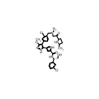 COc1n[nH]c(-c2c[nH]c(C(=O)N[C@H](CO)c3cccc(Cl)c3)c2)c1-c1ccc(CN(C)CC(=O)C2CCC(C)N2)c(Cl)c1